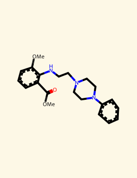 COC(=O)c1cccc(OC)c1NCCN1CCN(c2ccccc2)CC1